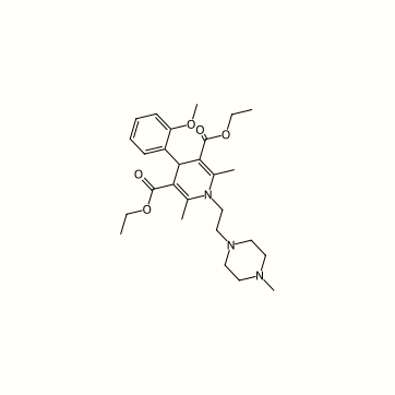 CCOC(=O)C1=C(C)N(CCN2CCN(C)CC2)C(C)=C(C(=O)OCC)C1c1ccccc1OC